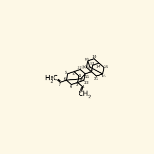 C=CC12CC3CC(C=C)(C1)CC(C14CC5CC(CC(C5)C1)C4)(C3)C2